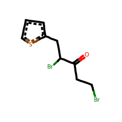 O=C(CCBr)C(Br)Cc1cccs1